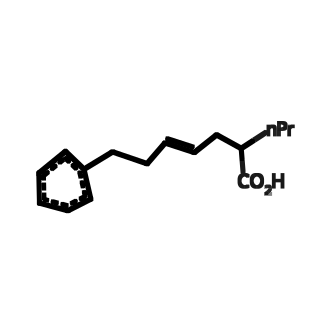 CCCC(CC=CCCc1ccccc1)C(=O)O